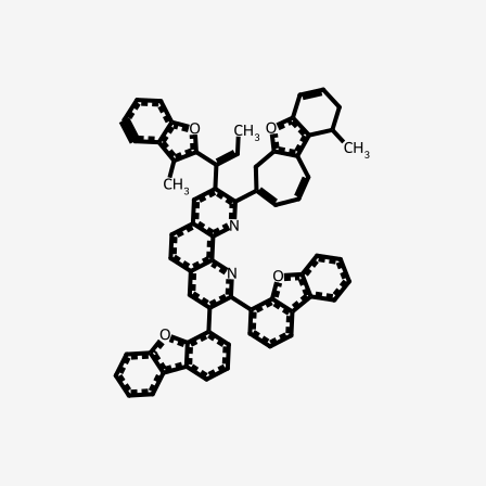 C/C=C(/c1cc2ccc3cc(-c4cccc5c4oc4ccccc45)c(-c4cccc5c4oc4ccccc45)nc3c2nc1C1=CC=Cc2c(oc3c2C(C)CC=C3)C1)c1oc2ccc#cc2c1C